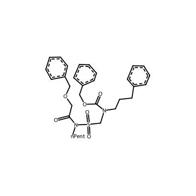 CCCCCN(C(=O)COCc1ccccc1)S(=O)(=O)CN(CCCc1ccccc1)C(=O)OCc1ccccc1